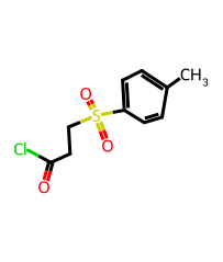 Cc1ccc(S(=O)(=O)CCC(=O)Cl)cc1